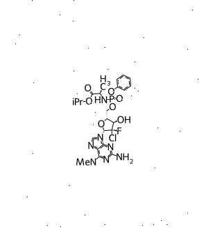 CNc1nc(N)nc2c1ncn2[C@@H]1O[C@H](COP(=O)(N[C@H](C)C(=O)OC(C)C)Oc2ccccc2)[C@@H](O)[C@]1(F)Cl